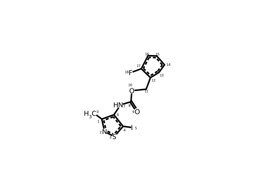 Cc1nsc(I)c1NC(=O)OCc1ccccc1F